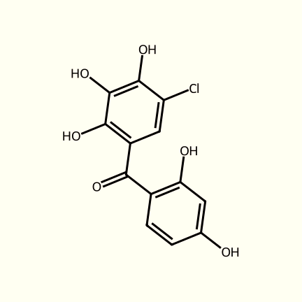 O=C(c1ccc(O)cc1O)c1cc(Cl)c(O)c(O)c1O